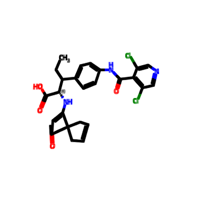 CCC(c1ccc(NC(=O)c2c(Cl)cncc2Cl)cc1)[C@H](NC1=CC(=O)C12CC=CC2)C(=O)O